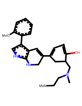 CNCCN(C)CC1CC(C2=Cc3c(-c4ccccc4OC)c[nH]c3NC2)=CC=C1O